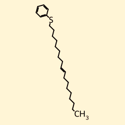 CCCCCCCCC=CCCCCCCCCSc1ccccc1